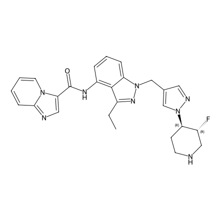 CCc1nn(Cc2cnn([C@@H]3CCNC[C@H]3F)c2)c2cccc(NC(=O)c3cnc4ccccn34)c12